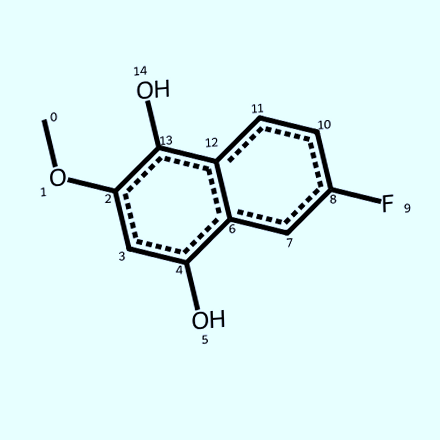 COc1cc(O)c2cc(F)ccc2c1O